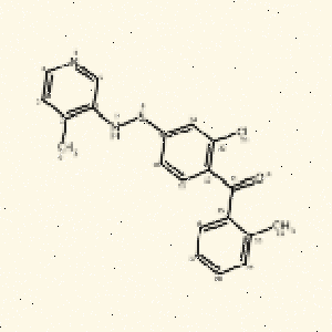 Cc1ccncc1NSc1ccc(C(=O)c2ccccc2C)c(Cl)c1